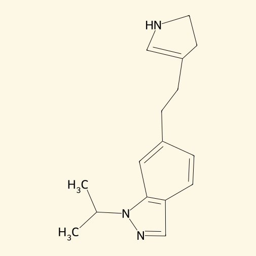 CC(C)n1ncc2ccc(CCC3=CNCC3)cc21